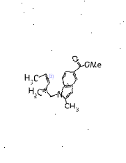 C=C(/C=C\C)Cn1c(C)cc2cc(C(=O)OC)ccc21